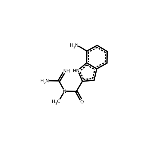 CN(C(=N)N)C(=O)c1cc2cccc(N)c2[nH]1